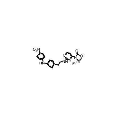 CC(C)[C@H]1COC(=O)N1c1ccnc(NCCc2ccc(Nc3ccc([N+](=O)[O-])cc3)cc2)n1